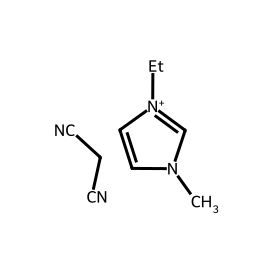 CC[n+]1ccn(C)c1.N#CCC#N